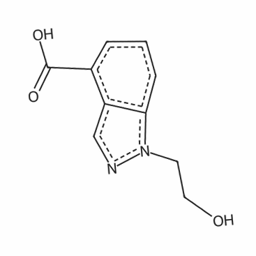 O=C(O)c1cccc2c1cnn2CCO